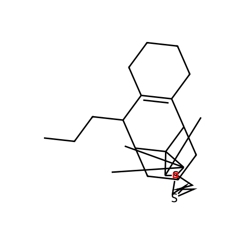 CCCC1C2=C(CCCC2)C2CCCC1C21C(C)SCCSCCCCC1(C)C